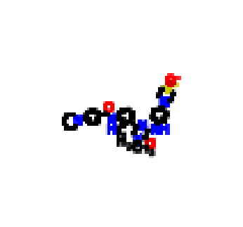 Cc1c(NC(=O)c2ccc(N3CCCCC3)cc2)cccc1-c1cn(C)c(=O)c(Nc2ccc(N3CC[S+]([O-])CC3)cc2)n1